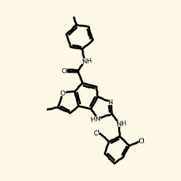 Cc1ccc(NC(=O)c2cc3nc(Nc4c(Cl)cccc4Cl)[nH]c3c3cc(C)oc23)cc1